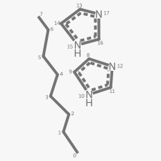 CCCCCCCC.c1c[nH]cn1.c1c[nH]cn1